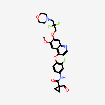 COc1cc2c(Oc3ccc(NC(=O)C4(C=O)CC4)cc3F)ccnc2cc1OCC(F)(F)CN1CCOCC1